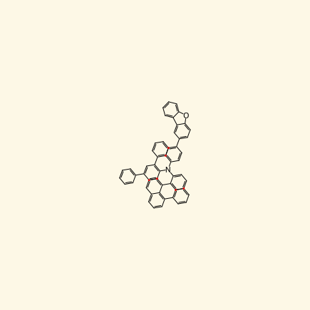 c1ccc(-c2ccc(N(c3ccc(-c4ccc5oc6ccccc6c5c4)cc3)c3ccccc3-c3cccc4cccc(-c5ccccc5)c34)c(-c3ccccc3)c2)cc1